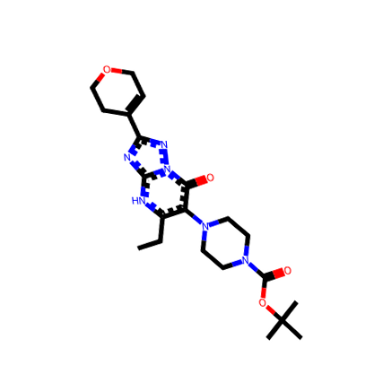 CCc1[nH]c2nc(C3=CCOCC3)nn2c(=O)c1N1CCN(C(=O)OC(C)(C)C)CC1